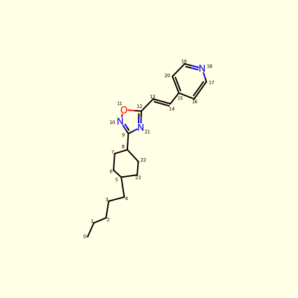 CCCCCC1CCC(c2noc(C=Cc3ccncc3)n2)CC1